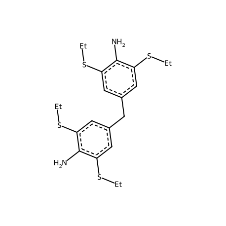 CCSc1cc(Cc2cc(SCC)c(N)c(SCC)c2)cc(SCC)c1N